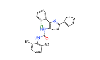 CCc1cccc(CC)c1NC(=O)Nc1ccc(-c2ccccc2)nc1-c1ccccc1Cl